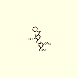 COc1cc(OC)nc(Oc2ccc(N(C)C3CCCCC3)nc2C(=O)O)n1